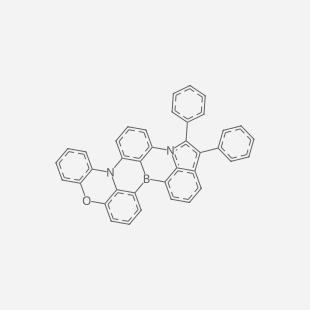 c1ccc(-c2c(-c3ccccc3)n3c4c(cccc24)B2c4cccc5c4N(c4ccccc4O5)c4cccc-3c42)cc1